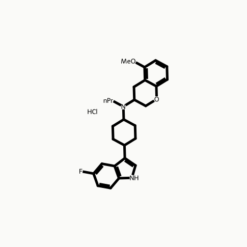 CCCN(C1CCC(c2c[nH]c3ccc(F)cc23)CC1)C1COc2cccc(OC)c2C1.Cl